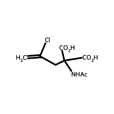 C=C(Cl)CC(NC(C)=O)(C(=O)O)C(=O)O